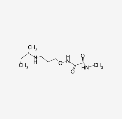 CCC(C)NCCCONC(=O)C(=O)NC